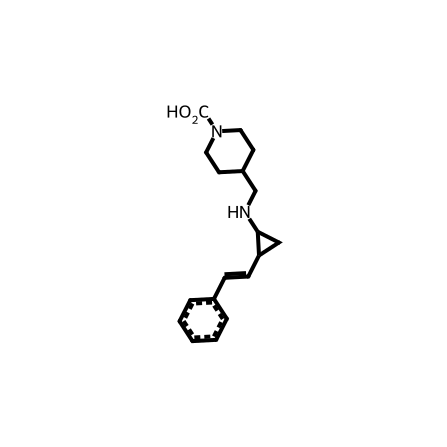 O=C(O)N1CCC(CNC2CC2C=Cc2ccccc2)CC1